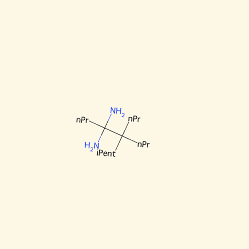 CCCC(C)C(CCC)(CCC)C(N)(N)CCC